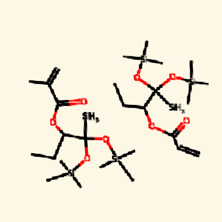 C=C(C)C(=O)OC(CC)C([SiH3])(O[Si](C)(C)C)O[Si](C)(C)C.C=CC(=O)OC(CC)C([SiH3])(O[Si](C)(C)C)O[Si](C)(C)C